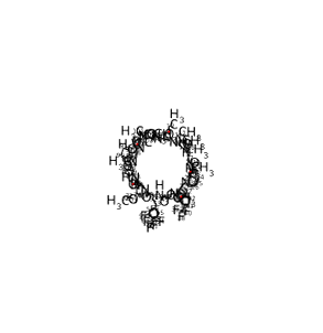 CCCC[C@H]1C(=O)N[C@@H]([C@@H](C)CC)C(=O)N(C)CC(=O)N(C)[C@H]2C/C=C\CCN(C2=O)[C@@H](Cc2ccc(C(F)(F)F)cc2)C(=O)N(C)CC(=O)N[C@@H](CCc2cc(F)c(C(F)(F)F)c(F)c2)C(=O)N2C[C@H](OCC)C[C@H]2C(=O)NC2(CCC2)C(=O)N(C)[C@@H](C2CCCC2)C(=O)N(C)[C@H](C(=O)N(C)C)CC(=O)N1C